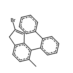 Cc1ccc2c(c1-c1ccccc1-c1ccccc1)C=C(Br)C2